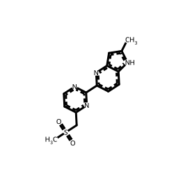 Cc1cc2nc(-c3nccc(CS(C)(=O)=O)n3)ccc2[nH]1